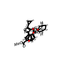 COC(=O)c1ccc(-c2csc(N3[C@@H]4CC[C@H]3C[C@@H](OCc3c(-c5c(C)cccc5Cl)noc3C3CC3)C4)n2)c(C)c1